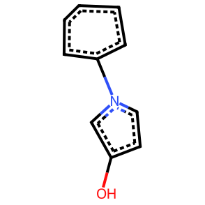 Oc1ccn(-c2ccccc2)c1